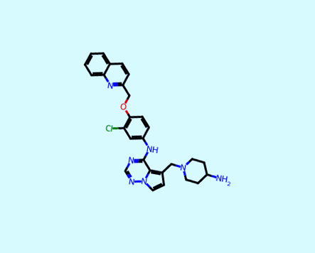 NC1CCN(Cc2ccn3ncnc(Nc4ccc(OCc5ccc6ccccc6n5)c(Cl)c4)c23)CC1